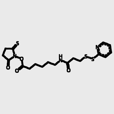 O=C(CCSSc1ccccn1)NCCCCCC(=O)ON1C(=O)CCC1=S